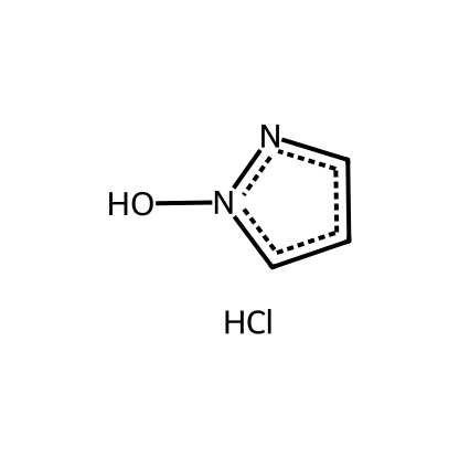 Cl.On1cccn1